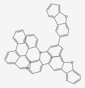 c1ccc(-c2cccc3cccc(-c4ccccc4N(c4cccc(-c5ccc6oc7ccccc7c6c5)c4)c4ccccc4-c4ccc5oc6ccccc6c5c4)c23)cc1